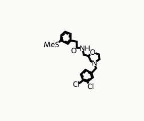 CSc1cccc(CC(=O)NCC2CN(Cc3ccc(Cl)c(Cl)c3)CCO2)c1